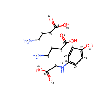 NCCCC(=O)O.NCCCC(=O)O.O=C(O)CNc1ccc(O)cc1